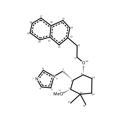 CO[C@@H]1[C@H](Cn2ccnc2)[C@H](OCCc2ccc3ccccc3c2)CCC1(C)C